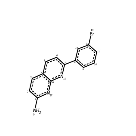 Nc1ccc2ccc(-c3cccc(Br)c3)nc2n1